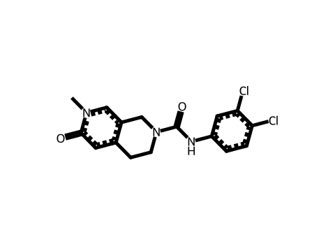 Cn1cc2c(cc1=O)CCN(C(=O)Nc1ccc(Cl)c(Cl)c1)C2